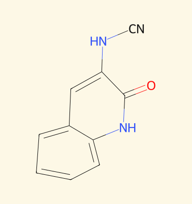 N#CNc1cc2ccccc2[nH]c1=O